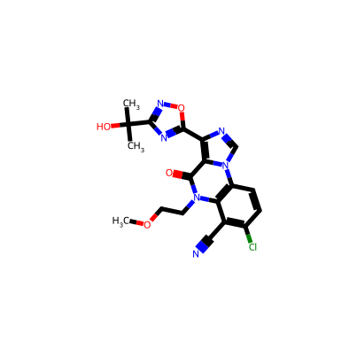 COCCn1c(=O)c2c(-c3nc(C(C)(C)O)no3)ncn2c2ccc(Cl)c(C#N)c21